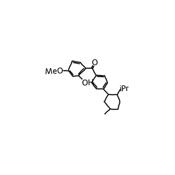 COc1ccc(C(=O)c2ccc(C3CC(C)CCC3C(C)C)cc2)c(O)c1